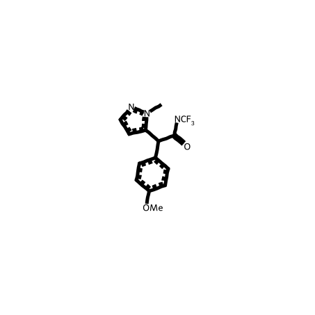 COc1ccc(C(C(=O)NC(F)(F)F)c2ccnn2C)cc1